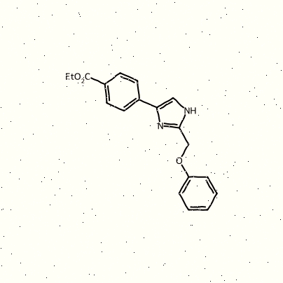 CCOC(=O)c1ccc(-c2c[nH]c(COc3ccccc3)n2)cc1